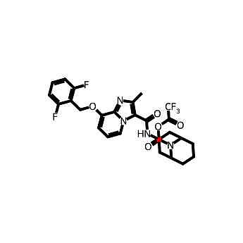 Cc1nc2c(OCc3c(F)cccc3F)cccn2c1C(=O)NC1CC2CCCC(C1)N2C(=O)OC(=O)C(F)(F)F